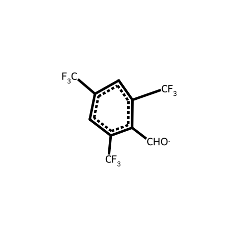 O=[C]c1c(C(F)(F)F)cc(C(F)(F)F)cc1C(F)(F)F